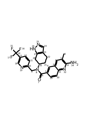 Cc1cc2cc(C(=O)N(Cc3ccc(C(F)(F)F)cn3)[C@@H]3CCc4cn[nH]c4C3)ccc2nc1N